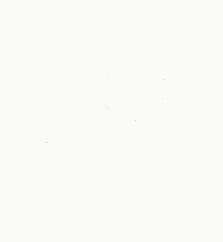 CCCOc1ccc(CO)cc1-c1nc2c(c(C)nn2C)c(=O)[nH]1